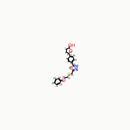 OC1CCC(c2ccc(-c3nnc(CSCCOc4ccccc4)o3)cc2)O1